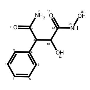 NC(=O)C(c1ccccc1)C(O)C(=O)NO